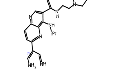 CC(C)Nc1c(C(=O)NCCN2CCOCC2)cnc2ccc(/C(C=N)=C/N)nc12